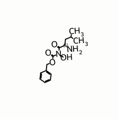 CC(C)C[C@H](N)C(=O)N(O)C(=O)OCc1ccccc1